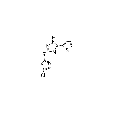 Clc1cnc(Sc2n[nH]c(-c3cccs3)n2)s1